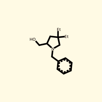 CCC1(CC)CC(CO)N(Cc2ccccc2)C1